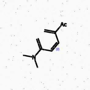 C=C(/C=C\C(=C)N(C)C)C(C)=O